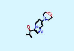 C=C(C)C(=O)c1cnc2cc(N3CCOCC3)ccn12